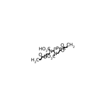 C=CC(=O)OCCN(C(=O)O)C(CCCCC)N(CCOC(=O)C=C)C(=O)O